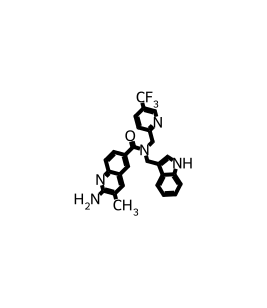 Cc1cc2cc(C(=O)N(Cc3ccc(C(F)(F)F)cn3)Cc3c[nH]c4ccccc34)ccc2nc1N